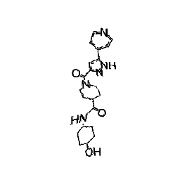 O=C(N[C@H]1CC[C@H](O)CC1)C1CCN(C(=O)c2cc(-c3ccncc3)[nH]n2)CC1